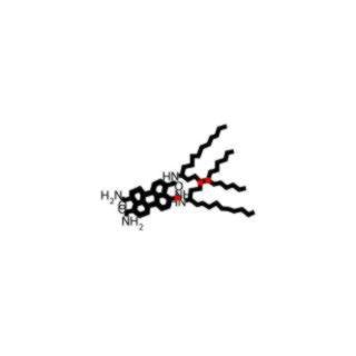 CCCCCCCCCCC(CCCCCCCCCC)NC(=N)c1ccc2c3ccc(C(N)=O)c4c(C(N)=O)ccc(c5ccc(C(=O)NC(CCCCCCCCCC)CCCCCCCCCC)c1c25)c43